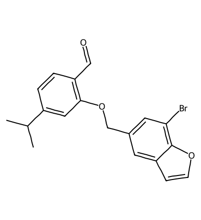 CC(C)c1ccc(C=O)c(OCc2cc(Br)c3occc3c2)c1